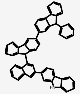 c1ccc(C2c3ccccc3-c3ccc(-c4ccc5c(c4)-c4ccccc4C5c4cc(-c5ccc6c(c5)[nH]c5ccccc56)cc5ccccc45)cc32)cc1